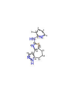 Cc1cccnc1Nc1nc2c(s1)CCCc1[nH]ncc1-2